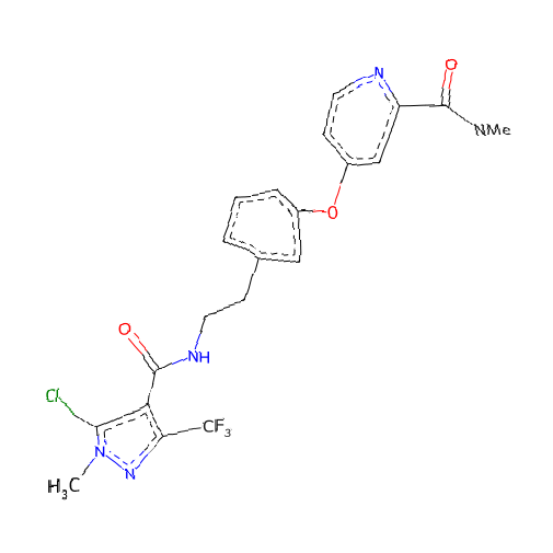 CNC(=O)c1cc(Oc2cccc(CCNC(=O)c3c(C(F)(F)F)nn(C)c3Cl)c2)ccn1